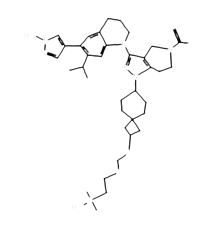 CC(=O)N1CCc2c(c(N3CCCc4cc(-c5cnn(C)c5)c(C(F)F)cc43)nn2C2CCC3(CC2)CC(OCOCC[Si](C)(C)C)C3)C1